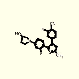 Cc1cc(-c2ccc(C#N)c(F)c2)c(-c2ccc(N3CCC(O)C3)cc2F)s1